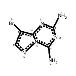 Nc1nc(N)n2ncc(Br)c2n1